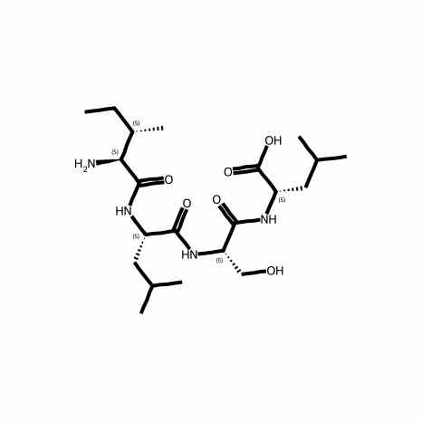 CC[C@H](C)[C@H](N)C(=O)N[C@@H](CC(C)C)C(=O)N[C@@H](CO)C(=O)N[C@@H](CC(C)C)C(=O)O